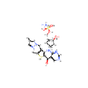 Cc1cnn(Cc2cc(C(=O)c3cncnc3N[C@@H]3C[C@H](COS(N)(=O)=O)[C@@H](O)C3)sc2C)c1